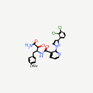 COc1ccc(CC(NC(=O)c2cccnc2-n2ccc(-c3cccc(Cl)c3Cl)n2)C(=O)C(N)=O)cc1